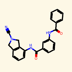 N#CN1Cc2cccc(NC(=O)c3cccc(NC(=O)c4ccccc4)c3)c2C1